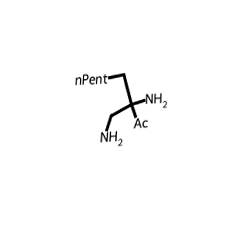 CCCCCCC(N)(CN)C(C)=O